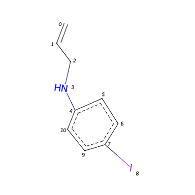 C=CCNc1ccc(I)cc1